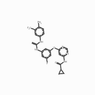 C=C(Nc1cc(F)cc(Oc2cc(NC(=O)C3CC3)ncn2)c1)Nc1ccc(P)c(C(F)(F)F)c1